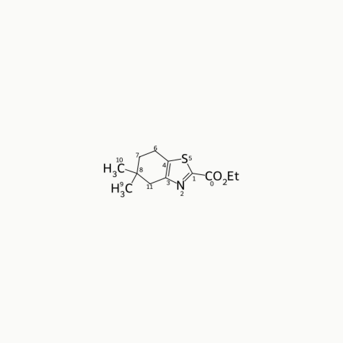 CCOC(=O)c1nc2c(s1)CCC(C)(C)C2